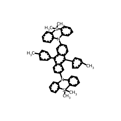 Cc1ccc(-c2c3ccc(N4c5ccccc5[Si](C)(C)c5ccccc54)cc3c(-c3ccc(C)cc3)c3ccc(N4c5ccccc5[Si](C)(C)c5ccccc54)cc23)cc1